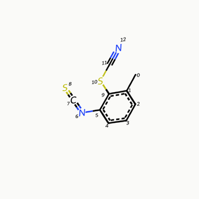 Cc1cccc(N=C=S)c1SC#N